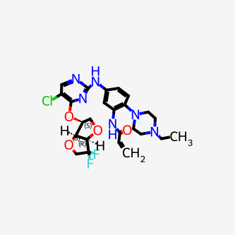 C=CC(=O)Nc1cc(Nc2ncc(Cl)c(O[C@H]3CO[C@@H]4[C@H]3OCC4(F)F)n2)ccc1N1CCN(CC)CC1